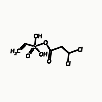 C=CS(=O)(O)(O)OC(=O)CC(Cl)Cl